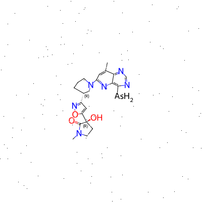 Cc1cc(N2CCC[C@@H](c3cc([C@]4(O)CCN(C)C4=O)on3)C2)nc2c([AsH2])ncnc12